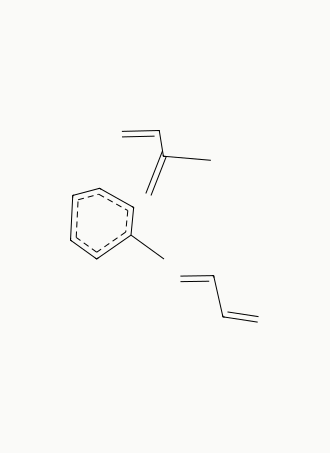 C=CC(=C)C.C=CC=C.Cc1ccccc1